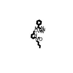 CCCCCN(C=O)c1cccc(CON=C(c2ccccc2)c2nnnn2C)n1